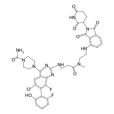 CN(CCNc1cccc2c1C(=O)N(C1CCC(=O)NC1=O)C2=O)C(=O)CCNc1nc(N2CCN(C(N)=O)CC2)c2cc(Cl)c(-c3c(O)cccc3F)c(F)c2n1